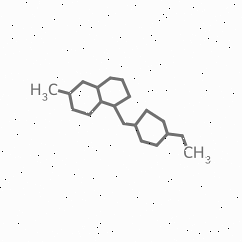 CCC1CCC(CC2CCCC3CC(C)CCC32)CC1